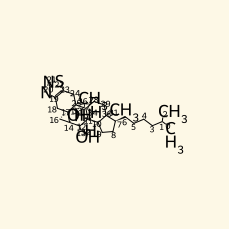 CC(C)CCCC[C@H]1CC[C@H]2[C@@H]3[C@@H](O)[C@@]4(O)C[C@@]45Cc4nnsc4C[C@]5(C)[C@H]3CC[C@]12C